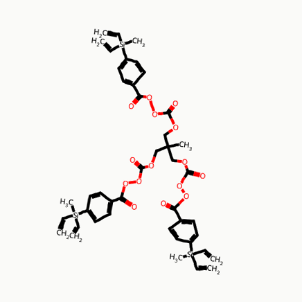 C=C[Si](C)(C=C)c1ccc(C(=O)OOC(=O)OCC(C)(COC(=O)OOC(=O)c2ccc([Si](C)(C=C)C=C)cc2)COC(=O)OOC(=O)c2ccc([Si](C)(C=C)C=C)cc2)cc1